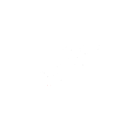 Cc1ccc2c(c1)oc1ccc3cc(-c4c5ccccc5c(-c5ccc6ccccc6c5)c5ccccc45)ccc3c12